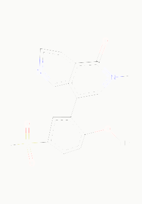 CCCOc1ccc(S(C)(=O)=O)cc1-c1cn(C)c(=O)c2ccncc12